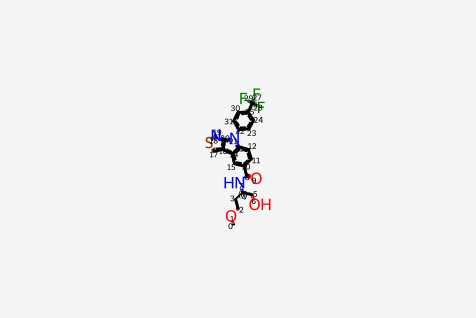 COCC[C@H](CO)NC(=O)c1ccc2c(c1)c1csnc1n2-c1ccc(C(F)(F)F)cc1